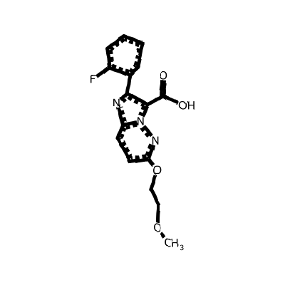 COCCOc1ccc2nc(-c3ccccc3F)c(C(=O)O)n2n1